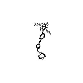 COC(=O)C(C)(C(=O)N(C)N)N(N)C(=O)c1ccc(C#Cc2ccc(CN3CCCOCC3)cc2)cc1